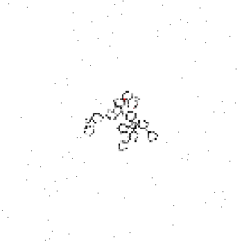 c1ccc(-c2cccc([Si](c3ccccc3)(c3cccc(-c4ccccc4)c3)c3ccc4c(c3)-n3c5ccc(-c6ccc7oc8ccccc8c7c6)cc5c5cccc(c53)C43c4ccccc4Oc4ccccc43)c2)cc1